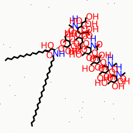 CCCCCCCCCCCCC/C=C/[C@@H](O)[C@H](CO[C@@H]1OC(CO)[C@@H](O[C@@H]2OC(CO)[C@H](O[C@@H]3OC(CO)[C@H](O)[C@H](O[C@@H]4OC(CO)[C@H](O)[C@H](O[C@@H]5OC(CO)[C@H](O)[C@H](O[C@H]6OC(CO)[C@H](O)[C@H](O)C6NC(C)=O)C5NC(C)=O)C4O)C3NC(C)=O)[C@H](O[C@]3(C(=O)O)CC(O)[C@@H](NC(C)=O)C([C@H](O)[C@H](O)CO)O3)C2O)[C@H](O)C1O)NC(=O)CCCCCCCCCCCCCCCCCCCCCCC